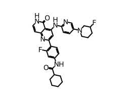 O=C(Nc1ccc(-c2cc(Nc3ccc(N4CCCC(F)C4)cn3)c3c(=O)[nH]ccc3n2)c(F)c1)C1CCCCC1